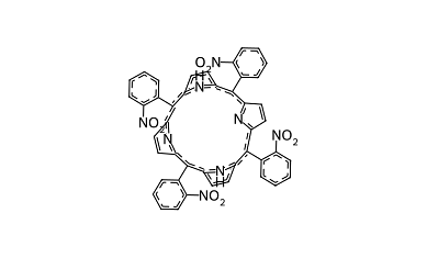 O=[N+]([O-])c1ccccc1-c1c2nc(c(-c3ccccc3[N+](=O)[O-])c3ccc([nH]3)c(-c3ccccc3[N+](=O)[O-])c3nc(c(-c4ccccc4[N+](=O)[O-])c4ccc1[nH]4)C=C3)C=C2